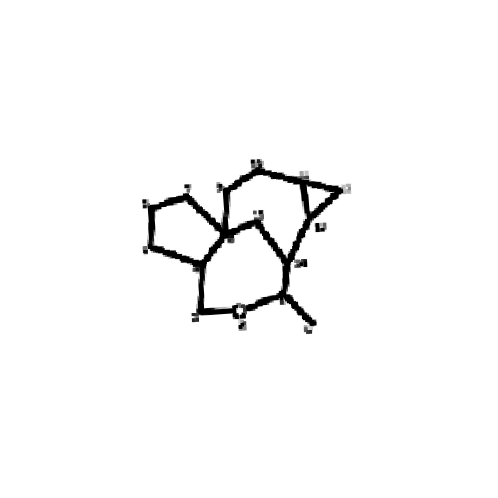 CC1OCC2CCCC23CCC2CC2C1C3